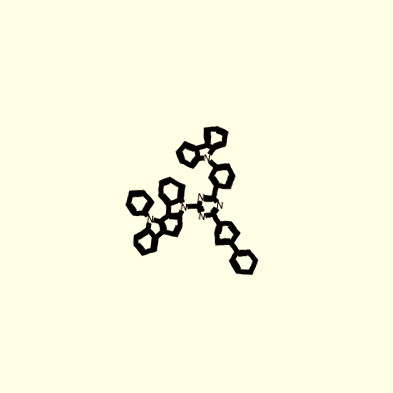 C1=CC(c2ccc(-c3nc(-c4cccc(-n5c6ccccc6c6ccccc65)c4)nc(-n4c5ccccc5c5c4ccc4c6ccccc6n(-c6ccccc6)c45)n3)cc2)=CCC1